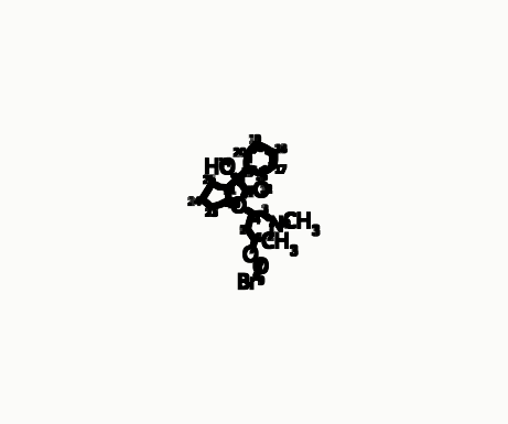 CN(C)CC(CCOOBr)OC(=O)C(O)(c1ccccc1)C1CCCC1